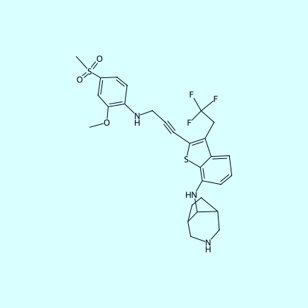 COc1cc(S(C)(=O)=O)ccc1NCC#Cc1sc2c(NC3C4CCC3CNC4)cccc2c1CC(F)(F)F